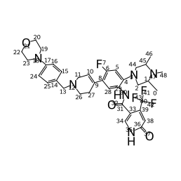 CC1CN(c2cc(F)c(C3=CCN(Cc4ccc(N5CCOCC5)cc4)CC3)cc2NC(=O)c2c[nH]c(=O)cc2C(F)(F)F)CC(C)N1C